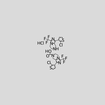 Cl.FC(F)(F)c1nc(-c2ccsc2Cl)c2n1CCNC2.O=C(O)N1CCn2c(C(F)(F)F)nc(-c3ccsc3Cl)c2C1